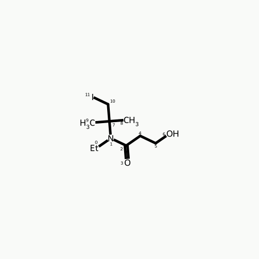 CCN(C(=O)CCO)C(C)(C)CI